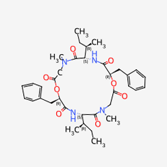 CC[C@@H](C)[C@@H]1NC(=O)[C@@H](Cc2ccccc2)OC(=O)CN(C)C(=O)[C@H]([C@H](C)CC)NC(=O)[C@@H](Cc2ccccc2)OC(=O)CN(C)C1=O